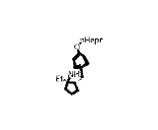 CCCCCCCOc1ccc(C[C@@H]2CCC[C@]2(N)CC)cc1